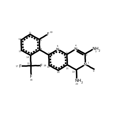 CN1C(N)=Nc2nc(-c3c(F)cccc3C(F)(F)F)ccc2C1N